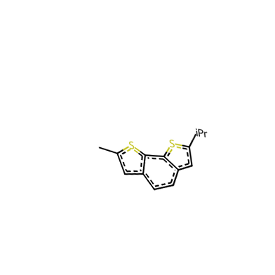 Cc1cc2ccc3cc(C(C)C)sc3c2s1